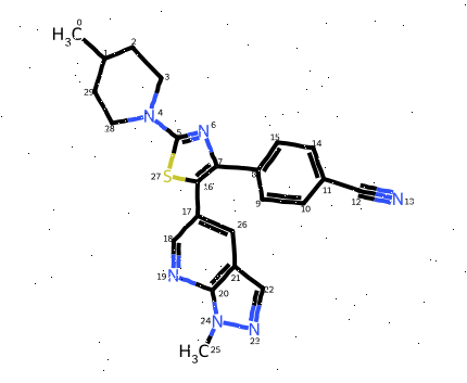 CC1CCN(c2nc(-c3ccc(C#N)cc3)c(-c3cnc4c(cnn4C)c3)s2)CC1